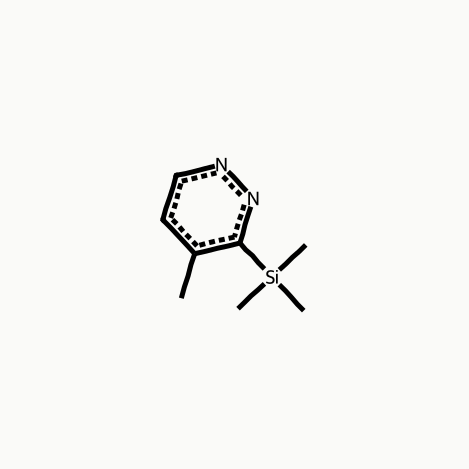 Cc1ccnnc1[Si](C)(C)C